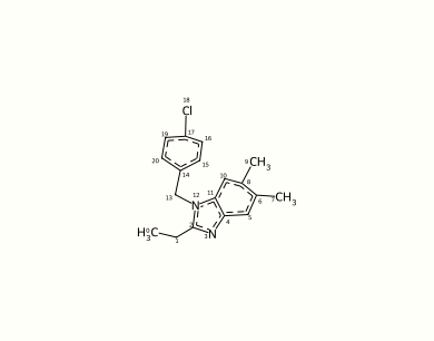 CCc1nc2cc(C)c(C)cc2n1Cc1ccc(Cl)cc1